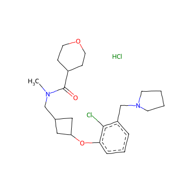 CN(CC1CC(Oc2cccc(CN3CCCC3)c2Cl)C1)C(=O)C1CCOCC1.Cl